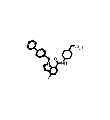 O=C(O)CC1CCC(NC(=O)c2ccc(F)c3ccn(Cc4ccc(-c5ccccc5)cc4)c23)CC1